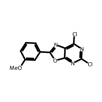 COc1cccc(-c2nc3c(Cl)nc(Cl)nc3o2)c1